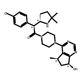 C[C@@H]1C[C@H](O)c2ncnc(N3CCN(C(=O)[C@@H](c4ccc(Cl)cc4)[C@@H]4CCC(C)(C)N4)CC3)c21